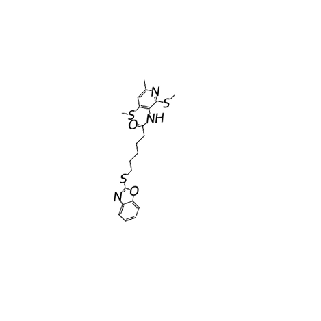 CSc1cc(C)nc(SC)c1NC(=O)CCCCCSc1nc2ccccc2o1